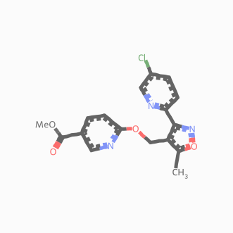 COC(=O)c1ccc(OCc2c(-c3ccc(Cl)cn3)noc2C)nc1